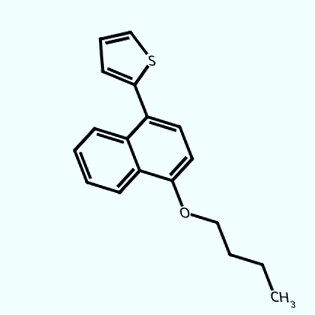 CCCCOc1ccc(-c2cccs2)c2ccccc12